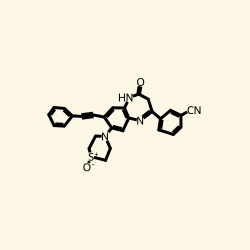 N#Cc1cccc(C2=Nc3cc(N4CC[S+]([O-])CC4)c(C#Cc4ccccc4)cc3NC(=O)C2)c1